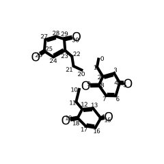 CCC1=CC(=O)C=CC1=O.CCC1=CC(=O)C=CC1=O.CCCC1=CC(=O)C=CC1=O